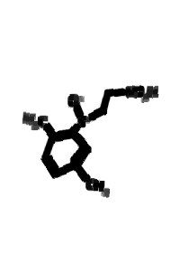 Cc1ccc(C)c([S+]([O-])CCS(=O)(=O)O)c1